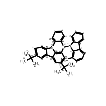 Cc1cccc2c3ccccc3n(B3c4ccccc4-n4c5ccc(C(C)(C)C)cc5c5cc(C(C)(C)C)cc3c54)c12